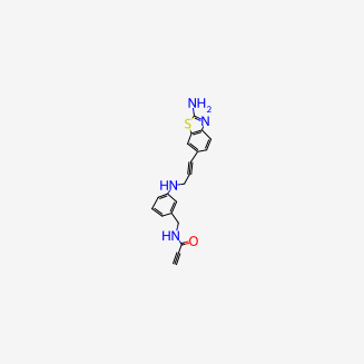 C#CC(=O)NCc1cccc(NCC#Cc2ccc3nc(N)sc3c2)c1